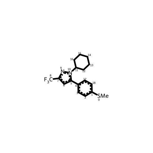 CSc1ccc(-c2cc(C(F)(F)F)nn2C2CCCCC2)cc1